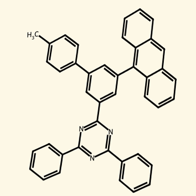 Cc1ccc(-c2cc(-c3nc(-c4ccccc4)nc(-c4ccccc4)n3)cc(-c3c4ccccc4cc4ccccc34)c2)cc1